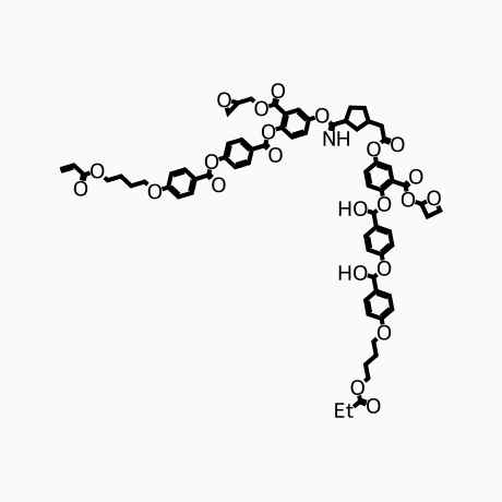 C=CC(=O)OCCCCOc1ccc(C(=O)Oc2ccc(C(=O)Oc3ccc(OC(=N)C4CCC(CC(=O)Oc5ccc(OC(O)c6ccc(OC(O)c7ccc(OCCCCOC(=O)CC)cc7)cc6)c(C(=O)OC6CCO6)c5)C4)cc3C(=O)OCC3CO3)cc2)cc1